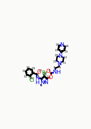 Cn1nc(OC(=O)NCCN2CCN(c3ccncc3)CC2)c(Br)c1NC(=O)c1ccccc1Cl